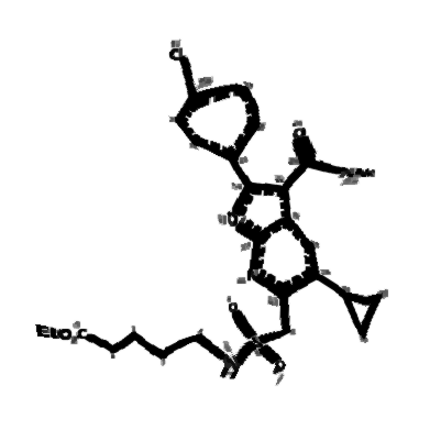 CCOC(=O)CCCCNS(=O)(=O)Cc1nc2oc(-c3ccc(Cl)cc3)c(C(=O)NC)c2cc1C1CC1